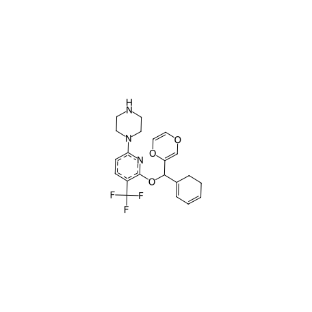 FC(F)(F)c1ccc(N2CCNCC2)nc1OC(C1=CC=CCC1)C1=COC=CO1